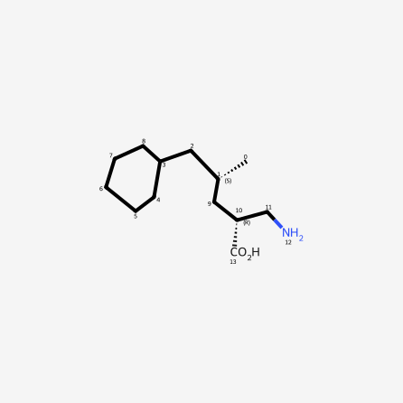 C[C@@H](CC1CCCCC1)C[C@H](CN)C(=O)O